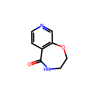 O=C1NCCOc2cnccc21